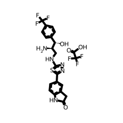 N[C@H](CNc1nnc(-c2ccc3c(c2)CC(=O)N3)s1)[C@@H](O)c1ccc(C(F)(F)F)cc1.O=C(O)C(F)(F)F